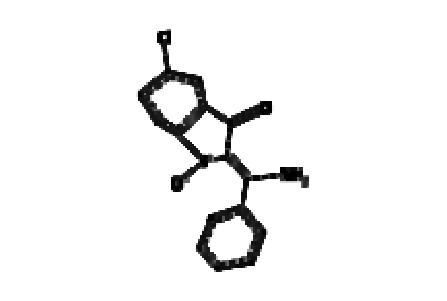 NC(=C1C(=O)c2cc(Cl)ccc2[S+]1[O-])c1ccccc1